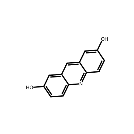 Oc1ccc2nc3ccc(O)cc3cc2c1